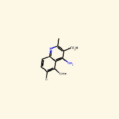 CCc1ccc2nc(C)c(C(=O)O)c(N)c2c1OC